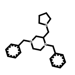 c1ccc(CN2CCN(Cc3ccccc3)C(CN3CCCC3)C2)cc1